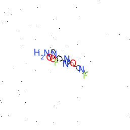 CC(C)(F)CN1CCC(COc2cnc(-c3ccc(C(=O)N4CCC[C@H]4C(N)=O)c(F)c3)nc2)CC1